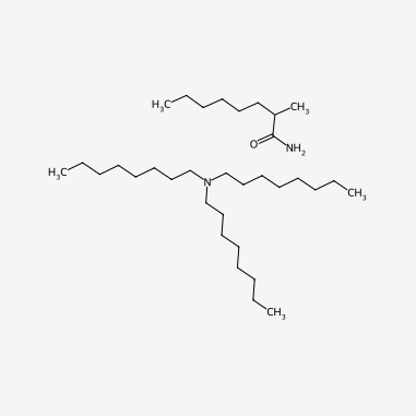 CCCCCCC(C)C(N)=O.CCCCCCCCN(CCCCCCCC)CCCCCCCC